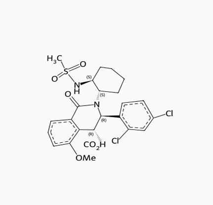 COc1cccc2c1[C@@H](C(=O)O)[C@H](c1ccc(Cl)cc1Cl)N([C@H]1CCCC[C@@H]1NS(C)(=O)=O)C2=O